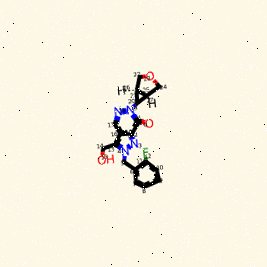 O=c1c2nn(Cc3ccccc3F)c(CO)c2cnn1C1[C@H]2COC[C@@H]12